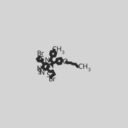 CCCCCCOc1ccc(-c2nc3c(-c4ccc(Br)s4)c4nsnc4c(-c4ccc(Br)s4)c3nc2-c2ccc(C)cc2)cc1